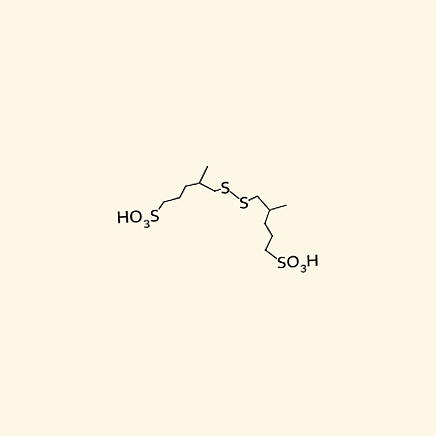 CC(CCCS(=O)(=O)O)CSSCC(C)CCCS(=O)(=O)O